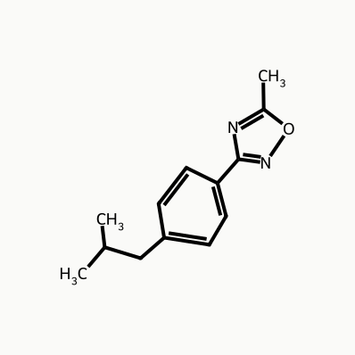 Cc1nc(-c2ccc(CC(C)C)cc2)no1